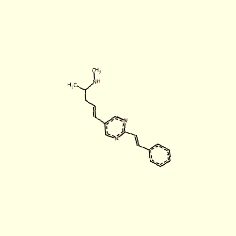 CNC(C)C/C=C/c1cnc(/C=C/c2ccccc2)nc1